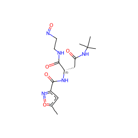 Cc1cc(C(=O)N[C@@H](CC(=O)NC(C)(C)C)C(=O)NCCN=O)no1